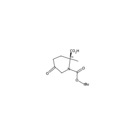 CC(C)(C)OC(=O)N1CC(=O)CC[C@@]1(C)C(=O)O